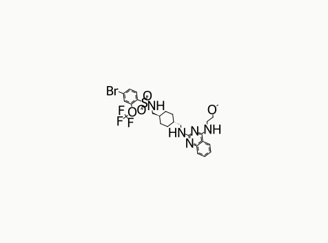 COCCNc1nc(NC[C@H]2CC[C@H](CNS(=O)(=O)c3ccc(Br)cc3OC(F)(F)F)CC2)nc2ccccc12